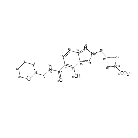 Cc1c(C(=O)NCC2CCCCO2)ccc2nn(CC3CN(C(=O)O)C3)cc12